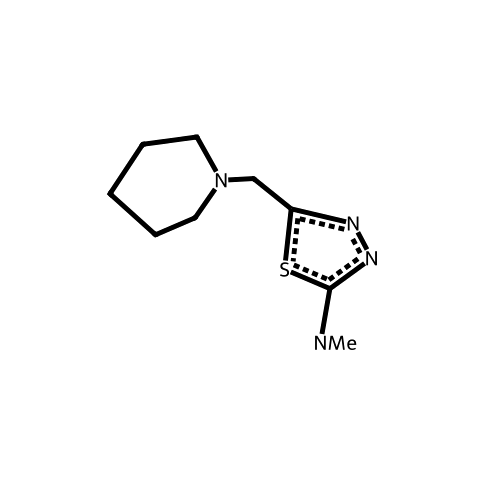 CNc1nnc(CN2CCCCC2)s1